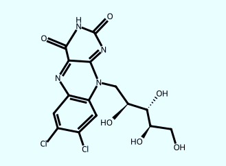 O=c1nc2n(C[C@H](O)[C@H](O)[C@H](O)CO)c3cc(Cl)c(Cl)cc3nc-2c(=O)[nH]1